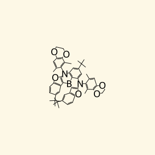 Cc1cc2c(c(C)c1N1c3cc(C(C)(C)C)cc4c3B(c3c1oc1ccc(C(C)(C)C)cc31)c1c(oc3ccc(C(C)(C)C)cc13)N4c1c(C)cc3c(c1C)OCCO3)OCCO2